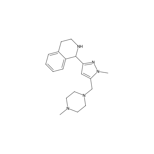 CN1CCN(Cc2cc(C3NCCc4ccccc43)nn2C)CC1